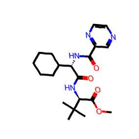 COC(=O)[C@H](NC(=O)[C@@H](NC(=O)c1cnccn1)C1CCCCC1)C(C)(C)C